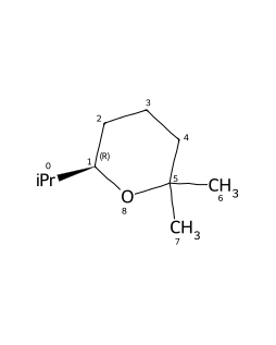 CC(C)[C@H]1CCCC(C)(C)O1